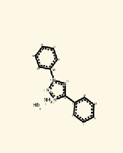 Br.N.c1ccc(-c2nnn(-c3ccccc3)n2)cc1